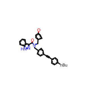 CCCCc1ccc(C#Cc2ccc(CN(Cc3ccc([O])cc3)C(=O)c3n[nH]c4ccccc34)cc2)cc1